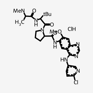 CNC(C)C(=O)NC(C(=O)N1CCCC1C(=O)Nc1cc2c(Nc3ccc(Cl)nc3)ncnc2cc1OC)C(C)(C)C.Cl